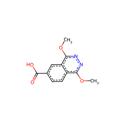 COc1nnc(OC)c2cc(C(=O)O)ccc12